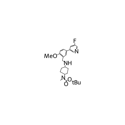 COc1ccc(-c2cncc(F)c2)cc1CNC1CCC(N(C)C(=O)OC(C)(C)C)CC1